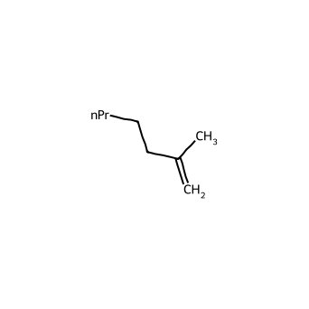 [CH2]CCCCC(=C)C